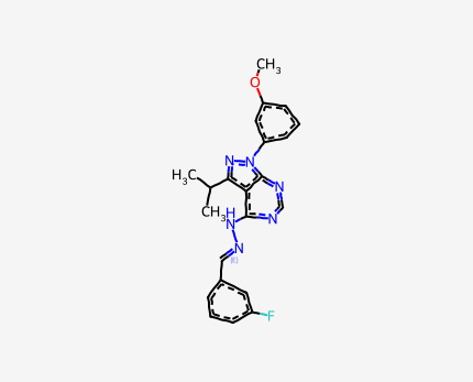 COc1cccc(-n2nc(C(C)C)c3c(N/N=C/c4cccc(F)c4)ncnc32)c1